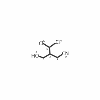 N#CCC(CO)C(Cl)Cl